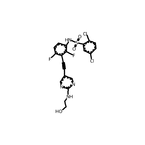 O=S(=O)(Nc1ccc(F)c(C#Cc2cnc(NCCO)nc2)c1F)c1cc(Cl)ccc1Cl